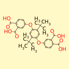 CC(C)(C)c1cc(Oc2ccc(C(=O)O)c(C(=O)O)c2)c(C(C)(C)C)cc1Oc1ccc(C(=O)O)c(C(=O)O)c1